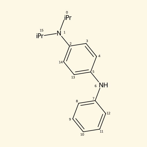 CC(C)N(c1ccc(Nc2ccccc2)cc1)C(C)C